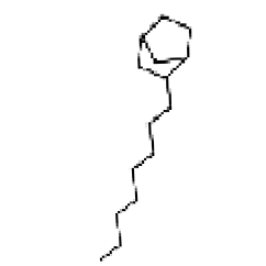 CCCCCCCCC1CC2CCC1C2